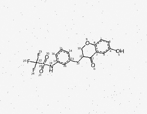 O=C1c2cc(O)ccc2OCC1Cc1cccc(NS(=O)(=O)C(F)(F)F)c1